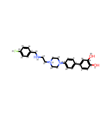 Oc1ccc(-c2ccc(N3CCN(CCNCc4ccc(F)cc4)CC3)cc2)cc1O